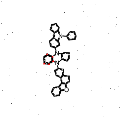 c1ccc(N(c2ccc3c(ccc4oc5ccccc5c43)c2)c2ccccc2N(c2ccccc2)c2ccc3c4ccccc4n(-c4ccccc4)c3c2)cc1